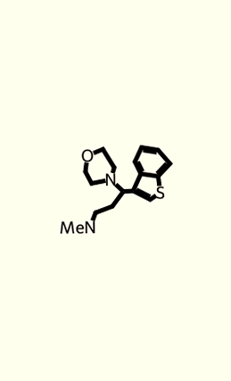 CNCCC(c1csc2ccccc12)N1CCOCC1